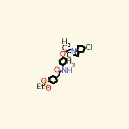 CCS(=O)(=O)c1ccc(CC(=O)Nc2ccc(OC(C)(C)Cn3ccc4cc(Cl)ccc43)cc2)cc1